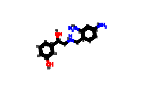 Nc1ccc(CNCC(O)c2cccc(O)c2)c(N)c1